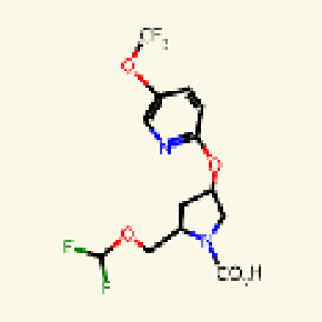 O=C(O)N1CC(Oc2ccc(OC(F)(F)F)cn2)CC1COC(F)F